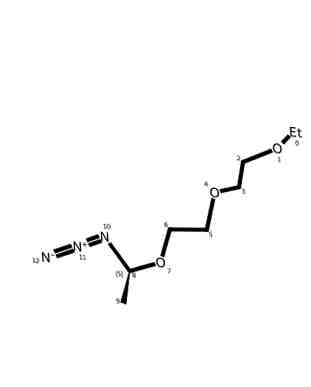 CCOCCOCCO[C@@H](C)N=[N+]=[N-]